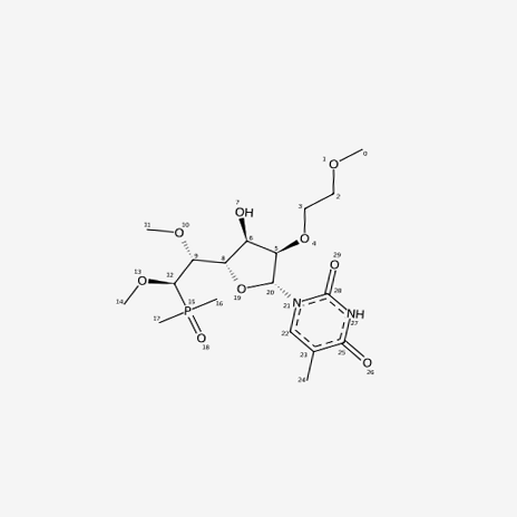 COCCO[C@@H]1[C@H](O)[C@@H]([C@@H](OC)[C@H](OC)P(C)(C)=O)O[C@H]1n1cc(C)c(=O)[nH]c1=O